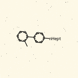 CCCCCCCc1ccc(-c2ccccc2C)cc1